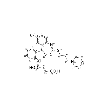 Clc1ccc2c(c1)C(c1ccccc1Cl)=NCC(SCCCN1CCOCC1)=N2.O=C(O)C=CC(=O)O